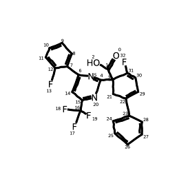 O=C(O)C1(c2nc(-c3ccccc3F)cc(C(F)(F)F)n2)CC(c2ccccc2)=CC=C1F